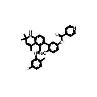 COc1ccc(OC(=O)c2ccncc2)cc1-c1ccc2c(c1COc1cc(F)ccc1C)C(C)=CC(C)(C)N2